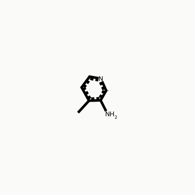 Cc1ccn[c]c1N